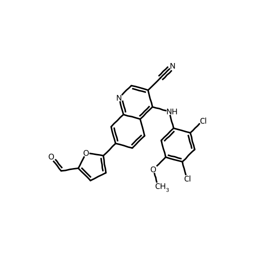 COc1cc(Nc2c(C#N)cnc3cc(-c4ccc(C=O)o4)ccc23)c(Cl)cc1Cl